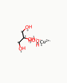 OCC(O)CO.[Cu+2].[OH-].[OH-]